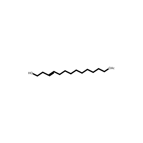 CC(=O)OCCCCCCCCCC=CCCO